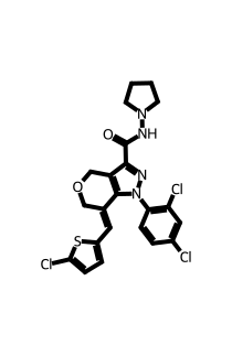 O=C(NN1CCCC1)c1nn(-c2ccc(Cl)cc2Cl)c2c1COCC2=Cc1ccc(Cl)s1